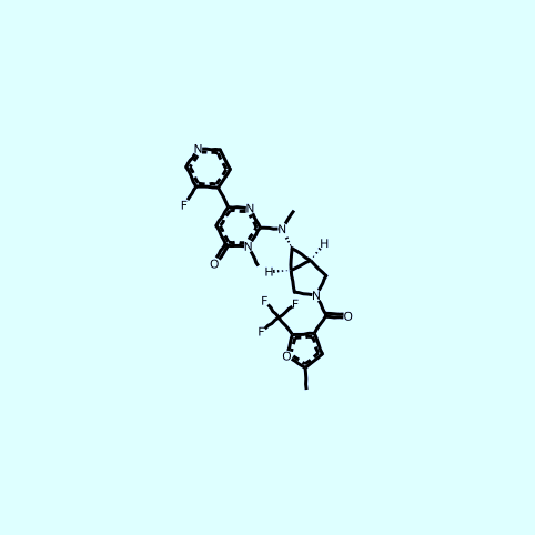 Cc1cc(C(=O)N2C[C@@H]3[C@H](C2)[C@H]3N(C)c2nc(-c3ccncc3F)cc(=O)n2C)c(C(F)(F)F)o1